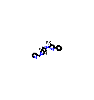 FC(F)(F)c1cc(-c2ccccc2)nnc1NC1C[C@@H]2CN(Cc3ccccn3)C[C@@H]2C1